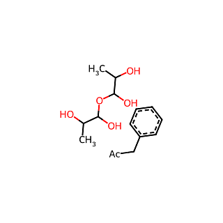 CC(=O)Cc1ccccc1.CC(O)C(O)OC(O)C(C)O